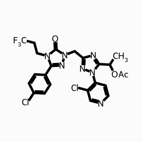 CC(=O)OC(C)c1nc(Cn2nc(-c3ccc(Cl)cc3)n(CCC(F)(F)F)c2=O)nn1-c1ccncc1Cl